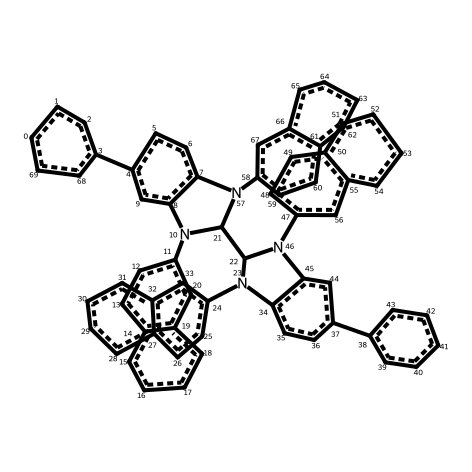 c1ccc(-c2ccc3c(c2)N(c2ccc4ccccc4c2)C(C2N(c4ccc5ccccc5c4)c4ccc(-c5ccccc5)cc4N2c2ccc4ccccc4c2)N3c2ccc3ccccc3c2)cc1